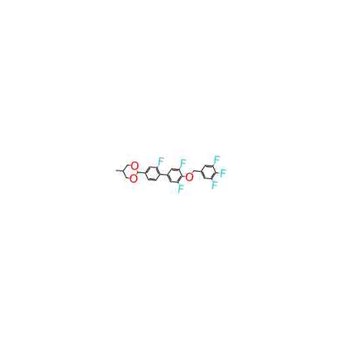 CC1COC(c2ccc(-c3cc(F)c(OCc4cc(F)c(F)c(F)c4)c(F)c3)c(F)c2)OC1